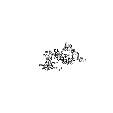 CC(C)C[C@H](NC(=O)[C@H](CCCNC(=N)N)NC(=O)[C@H](CC(C)C)NC(=O)[C@H](CC(=O)O)NC(=O)[C@H](CCC(N)=O)NC(=O)[C@H](Cc1ccccc1)NC(=O)[C@@H]1CCCN1C(=O)[C@H](CC(=O)O)NC(=O)[C@H](C)NC(=O)[C@H](CCCNC(=N)N)NC(=O)[C@@H](NC(=O)[C@H](CC(C)C)NC(=O)[C@@H]1CCCN1C(=O)[C@@H](N)[C@@H](C)O)C(C)C)C(=O)N[C@@H](CCC(=O)O)C(=O)O